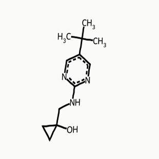 CC(C)(C)c1cnc(NCC2(O)CC2)nc1